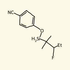 CCC(F)C(C)(C)[SiH2]Oc1ccc(C#N)cc1